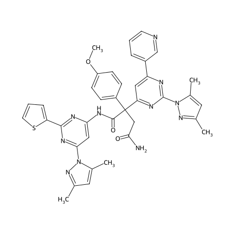 COc1ccc(C(CC(N)=O)(C(=O)Nc2cc(-n3nc(C)cc3C)nc(-c3cccs3)n2)c2cc(-c3cccnc3)nc(-n3nc(C)cc3C)n2)cc1